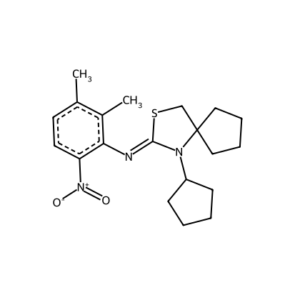 Cc1ccc([N+](=O)[O-])c(N=C2SCC3(CCCC3)N2C2CCCC2)c1C